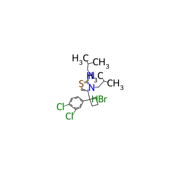 Br.CC(C)C/N=c1\scc(C2(c3ccc(Cl)c(Cl)c3)CCC2)n1CC(C)C